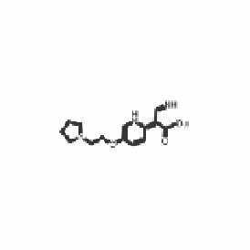 CCC(C)C(=O)/C(C=N)=C1\C=CC(OCCN2CCCC2)=CN1